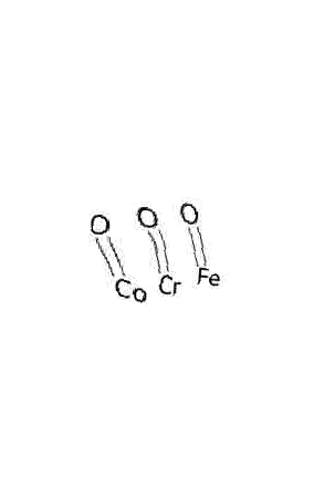 [O]=[Co].[O]=[Cr].[O]=[Fe]